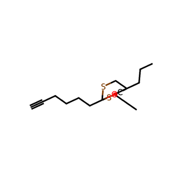 C#CCCCCC12OC(C)C(CCC)(CS1)CS2